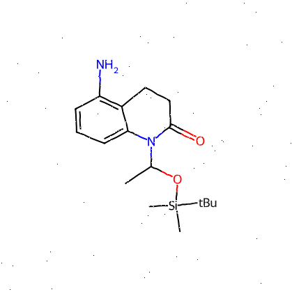 CC(O[Si](C)(C)C(C)(C)C)N1C(=O)CCc2c(N)cccc21